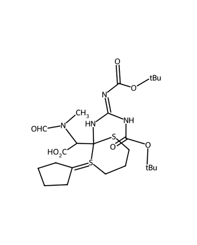 CN(C=O)C(C(=O)O)C1(NC(=NC(=O)OC(C)(C)C)NC(=O)OC(C)(C)C)SCCCS1=C1CCCC1